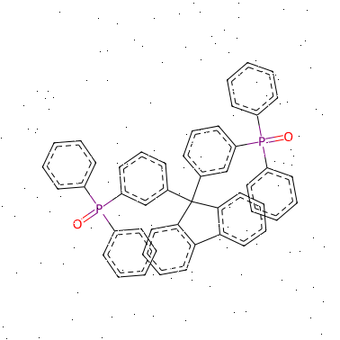 O=P(c1ccccc1)(c1ccccc1)c1cccc(C2(c3cccc(P(=O)(c4ccccc4)c4ccccc4)c3)c3ccccc3-c3ccccc32)c1